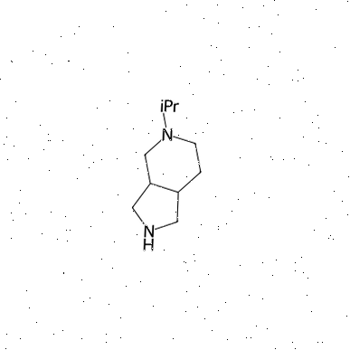 CC(C)N1CCC2CNCC2C1